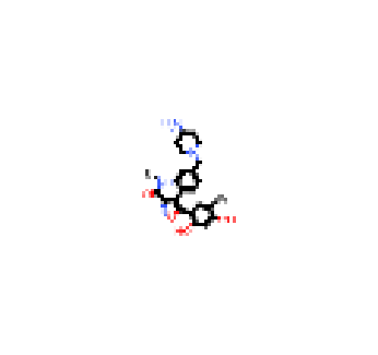 CCNC(=O)c1noc(-c2cc(C(C)C)c(O)cc2O)c1-c1ccc(CN2CCC(N)CC2)cc1